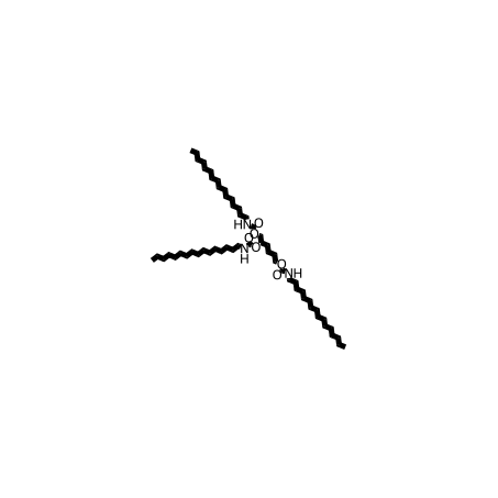 CCCCCCCCCCCCCCCCNC(=O)OCCCCC(COC(=O)NCCCCCCCCCCCCCCCC)OC(=O)NCCCCCCCCCCCCCCCC